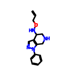 C=CCONC1CNCc2c1cnn2-c1ccccc1